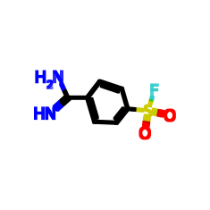 N=C(N)c1ccc(S(=O)(=O)F)cc1